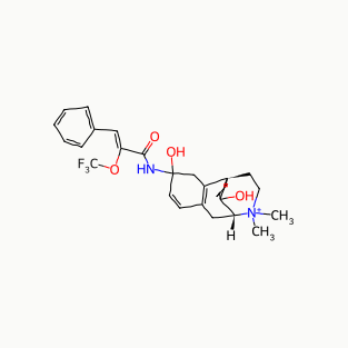 C[N+]1(C)CC[C@]23CCCCC2(O)[C@H]1CC1=C3CC(O)(NC(=O)C(=Cc2ccccc2)OC(F)(F)F)C=C1